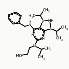 CC(C)N(CCO)c1nc(NCc2ccccc2)c2c(n1)N(C(C)C)NN2C(C)C